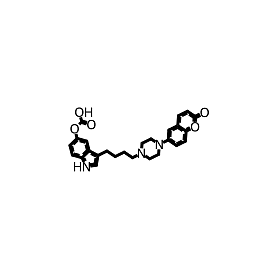 O=C(O)Oc1ccc2[nH]cc(CCCCN3CCN(c4ccc5oc(=O)ccc5c4)CC3)c2c1